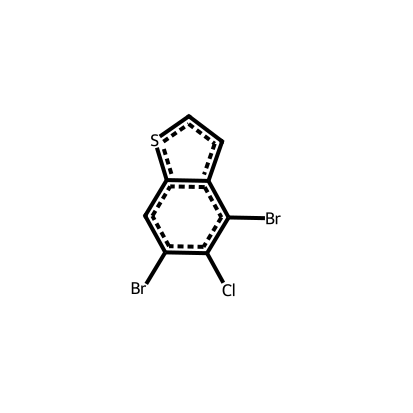 Clc1c(Br)cc2sccc2c1Br